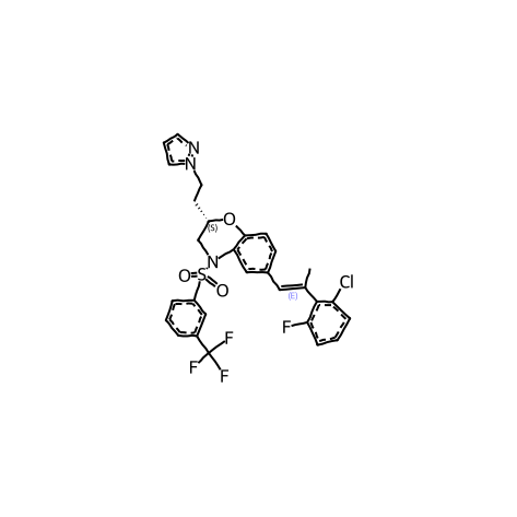 C/C(=C\c1ccc2c(c1)N(S(=O)(=O)c1cccc(C(F)(F)F)c1)C[C@H](CCn1cccn1)O2)c1c(F)cccc1Cl